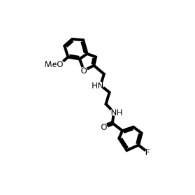 COc1cccc2cc(CNCCNC(=O)c3ccc(F)cc3)oc12